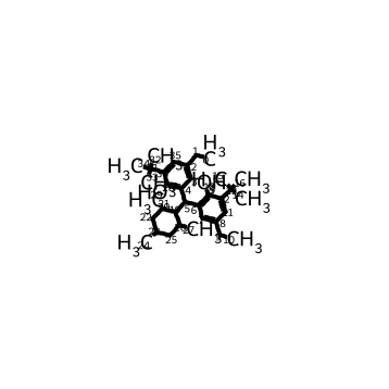 CCc1cc(C(c2cc(CC)cc(C(C)(C)C)c2O)C2C(C)CC(C)CC2C)c(O)c(C(C)(C)C)c1